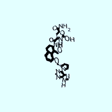 NC(=O)CC[C@H](NC(=O)O)C(=O)Nc1ccc2cccc(OC[C@H]3CCCN3c3ncnc4[nH]cnc34)c2c1C=O